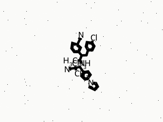 CC(N[C@@H](c1ccc(-n2cccc2)cc1)C(C)(C)C#N)C(Cc1ccc(Cl)cc1)c1cccc(C#N)c1